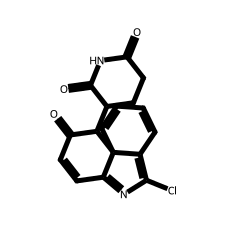 O=C1CCC(C2C(=O)C=CC3=NC(Cl)=C4C=CC=CC342)C(=O)N1